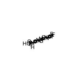 O=S(=O)(O)CNc1ccc(N=Nc2nc3sc(N=Nc4ccc(C(F)(F)F)cc4)cc3s2)cc1